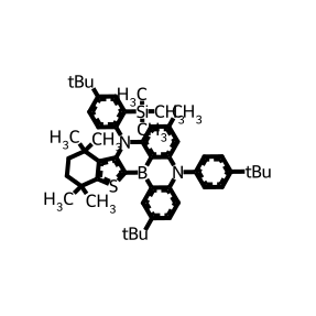 Cc1cc2c3c(c1)N(c1ccc(C(C)(C)C)cc1[Si](C)(C)C)c1c(sc4c1C(C)(C)CCC4(C)C)B3c1cc(C(C)(C)C)ccc1N2c1ccc(C(C)(C)C)cc1